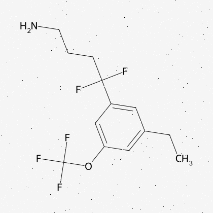 CCc1cc(OC(F)(F)F)cc(C(F)(F)CCCN)c1